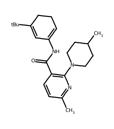 Cc1ccc(C(=O)NC2=CC[CH]C(C(C)(C)C)=C2)c(N2CCC(C)CC2)n1